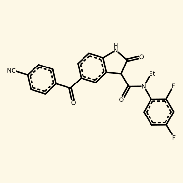 CCN(C(=O)C1C(=O)Nc2ccc(C(=O)c3ccc(C#N)cc3)cc21)c1ccc(F)cc1F